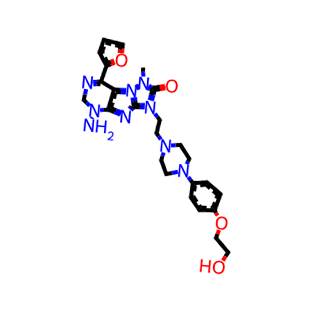 Cn1c(=O)n(CCN2CCN(c3ccc(OCCO)cc3)CC2)c2nc3c(n21)C(c1ccco1)=NCN3N